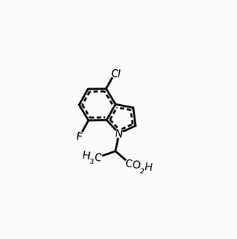 CC(C(=O)O)n1ccc2c(Cl)ccc(F)c21